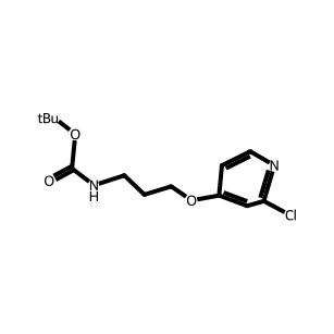 CC(C)(C)OC(=O)NCCCOc1ccnc(Cl)c1